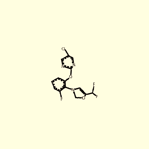 Fc1cccc(Oc2ncc(Cl)cn2)c1N1C=C(C(F)F)OC1